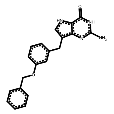 Nc1nc2c(Cc3cccc(OCc4ccccc4)c3)c[nH]c2c(=O)[nH]1